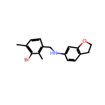 Cc1ccc(CNc2ccc3c(c2)OC[C]3)c(C)c1Br